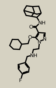 O=C(NC1C2CC3CC(C2)CC1C3)c1cnn(CCNCc2ccc(F)cc2)c1OCC1CCCCC1